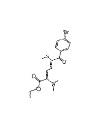 CCOC(=O)/C(=C/C=C(\SC)C(=O)c1ccc(Br)cc1)N(C)C